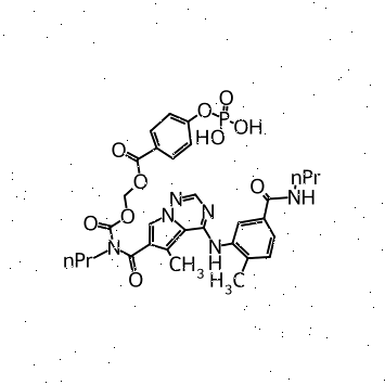 CCCNC(=O)c1ccc(C)c(Nc2ncnn3cc(C(=O)N(CCC)C(=O)OCOC(=O)c4ccc(OP(=O)(O)O)cc4)c(C)c23)c1